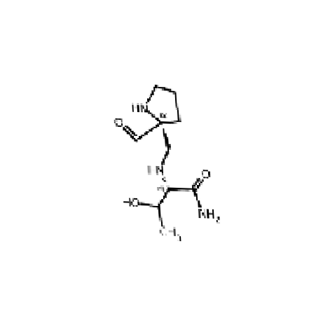 CC(O)[C@H](NC[C@]1(C=O)CCCN1)C(N)=O